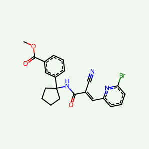 COC(=O)c1cccc(C2(NC(=O)C(C#N)=Cc3cccc(Br)n3)CCCC2)c1